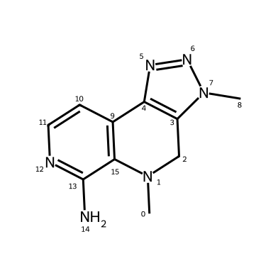 CN1Cc2c(nnn2C)-c2ccnc(N)c21